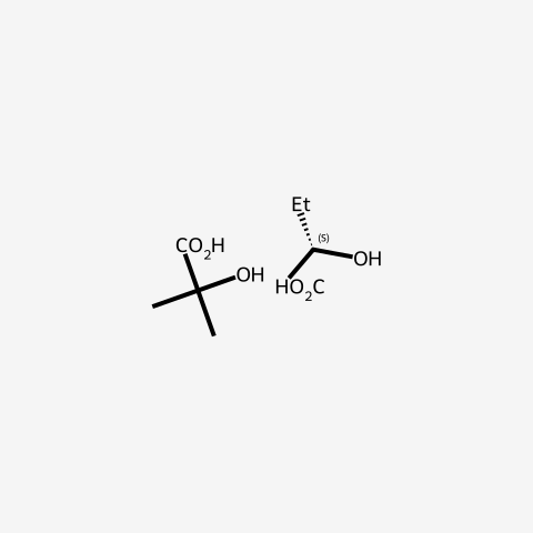 CC(C)(O)C(=O)O.CC[C@H](O)C(=O)O